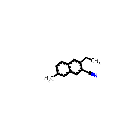 CCc1cc2ccc(C)cc2cc1C#N